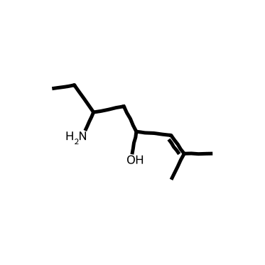 CCC(N)CC(O)C=C(C)C